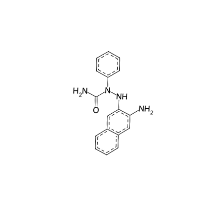 NC(=O)N(Nc1cc2ccccc2cc1N)c1ccccc1